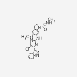 CNCC(=O)N1CCc2cc(OC)c(Nc3ncc(Cl)c(-c4cnn5ccccc45)n3)cc21